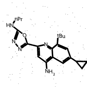 CCCNc1nnc(-c2cc(N)c3cc(C4CC4)cc(C(C)(C)C)c3n2)o1